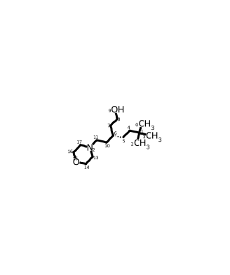 CC(C)(C)CC[C@@H](CCO)CCN1CCOCC1